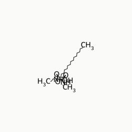 CCCCCCCCCCCCCCCC(C(=O)O)(C(=O)NCC)C(=O)NCCC